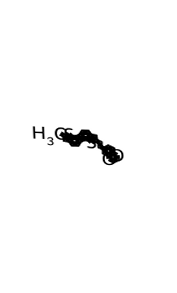 Cc1cc2ccc3c(c2s1)-c1ccc2cc(CCc4ccc5c(c4)OCCO5)sc2c1-3